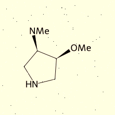 CN[C@@H]1CNC[C@@H]1OC